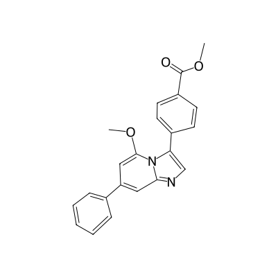 COC(=O)c1ccc(-c2cnc3cc(-c4ccccc4)cc(OC)n23)cc1